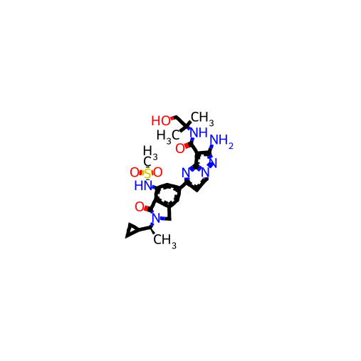 C[C@@H](C1CC1)N1Cc2cc(-c3ccn4nc(N)c(C(=O)NC(C)(C)CO)c4n3)cc(NS(C)(=O)=O)c2C1=O